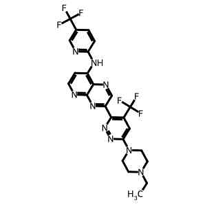 CCN1CCN(c2cc(C(F)(F)F)c(-c3cnc4c(Nc5ccc(C(F)(F)F)cn5)ccnc4n3)nn2)CC1